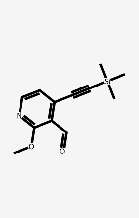 COc1nccc(C#C[Si](C)(C)C)c1C=O